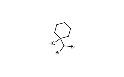 OC1(C(Br)Br)CCCCC1